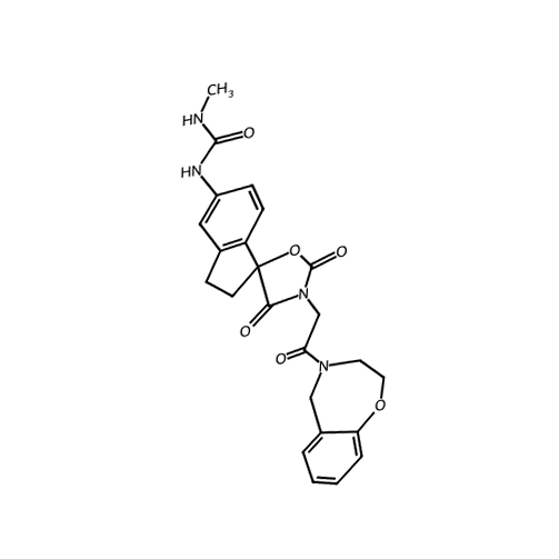 CNC(=O)Nc1ccc2c(c1)CCC21OC(=O)N(CC(=O)N2CCOc3ccccc3C2)C1=O